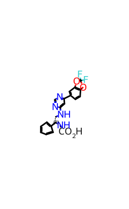 O=C(O)N[C@@H](CNc1cc(-c2ccc3c(c2)OC(F)(F)O3)ncn1)c1ccccc1